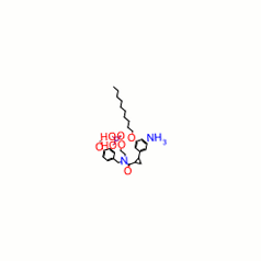 CCCCCCCCCCOc1cccc(C2CC2C(=O)N(CCOP(=O)(O)O)Cc2ccc(OC)cc2)c1.N